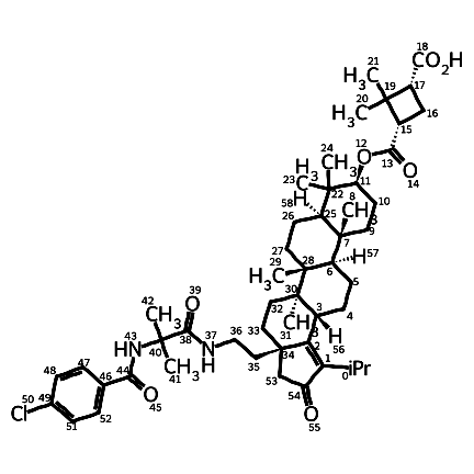 CC(C)C1=C2[C@H]3CC[C@@H]4[C@@]5(C)CC[C@H](OC(=O)[C@H]6C[C@@H](C(=O)O)C6(C)C)C(C)(C)[C@@H]5CC[C@@]4(C)[C@]3(C)CC[C@@]2(CCNC(=O)C(C)(C)NC(=O)c2ccc(Cl)cc2)CC1=O